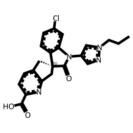 CCCn1cc(N2C(=O)[C@]3(Cc4ccc(C(=O)O)nc4C3)c3ccc(Cl)cc32)cn1